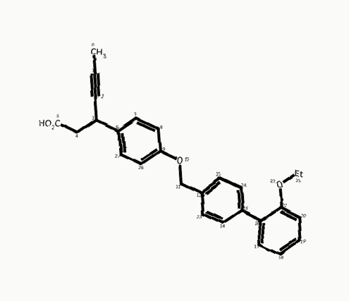 CC#CC(CC(=O)O)c1ccc(OCc2ccc(-c3ccccc3OCC)cc2)cc1